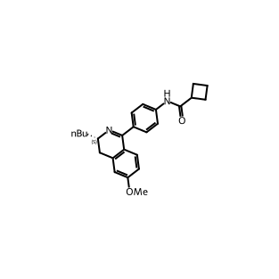 CCCC[C@H]1Cc2cc(OC)ccc2C(c2ccc(NC(=O)C3CCC3)cc2)=N1